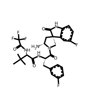 CC(C)(C)[C@H](NC(=O)C(F)(F)F)C(=O)N[C@@H](Cc1cccc(F)c1)C(=O)N1C[C@]2(C[C@H]1N)C(=O)Nc1ccc(F)cc12